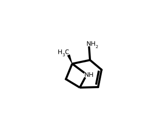 C[C@@]12CC(C=CC1N)N2